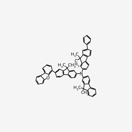 CC1(C)c2ccccc2-c2ccc(N(c3ccc4c(c3)C(C)(C)c3cc(-c5ccccc5)ccc3-4)c3ccc4c(c3)C(C)(C)c3cc(-c5cccc6c5oc5ccccc56)ccc3-4)cc21